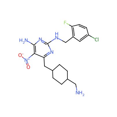 NCC1CCC(Cc2nc(NCc3cc(Cl)ccc3F)nc(N)c2[N+](=O)[O-])CC1